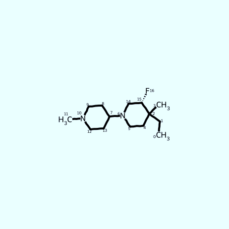 CCC1(C)CCN(C2CCN(C)CC2)C[C@@H]1F